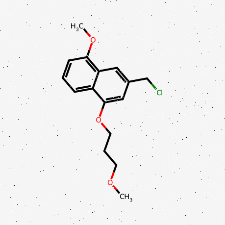 COCCCOc1cc(CCl)cc2c(OC)cccc12